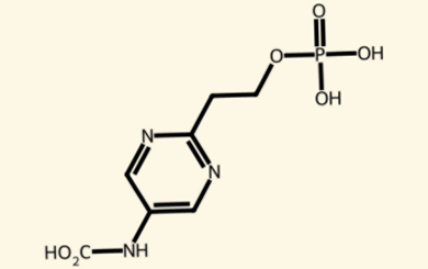 O=C(O)Nc1cnc(CCOP(=O)(O)O)nc1